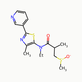 CCN(C(=O)C(C)C[S+](C)[O-])c1sc(-c2cccnc2)nc1C